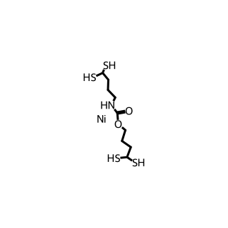 O=C(NCCCC(S)S)OCCCC(S)S.[Ni]